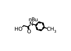 CCCCN(C(=O)CO)c1ccc(C)cc1